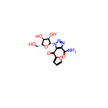 NC(=O)c1nnn([C@@H]2O[C@H](CO)[C@@H](O)[C@H]2O)c1C(=O)c1ccco1